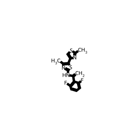 C=C(Nc1nc(C)c(-c2csc(C)n2)s1)c1c(F)cccc1F